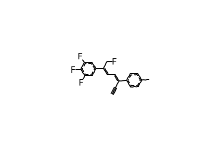 C#C/C(=C\C=C(/CF)c1cc(F)c(F)c(F)c1)c1ccc(C)cc1